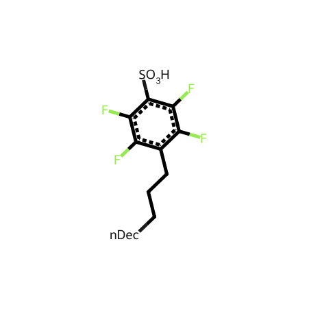 CCCCCCCCCCCCCc1c(F)c(F)c(S(=O)(=O)O)c(F)c1F